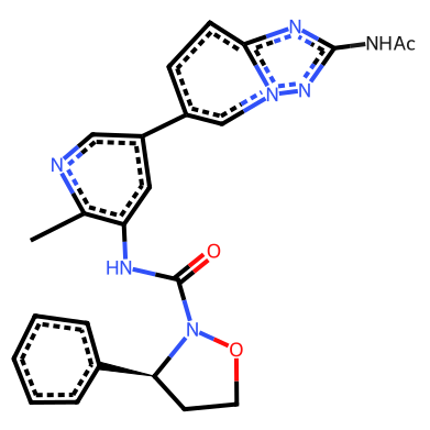 CC(=O)Nc1nc2ccc(-c3cnc(C)c(NC(=O)N4OCC[C@H]4c4ccccc4)c3)cn2n1